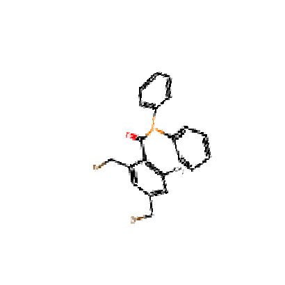 Cc1cc(CBr)cc(CBr)c1C(=O)P(c1ccccc1)c1ccccc1